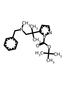 CN(Cc1ccccc1)CC(C)(C)c1ccnn1C(=O)OC(C)(C)C